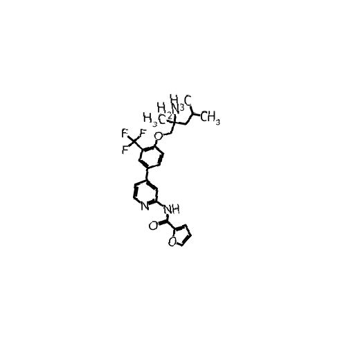 CC(C)CC(C)(N)COc1ccc(-c2ccnc(NC(=O)c3ccco3)c2)cc1C(F)(F)F